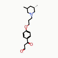 CC1C[C@H](C)CN(CCCOc2ccc(C(=O)CC=O)cc2)C1